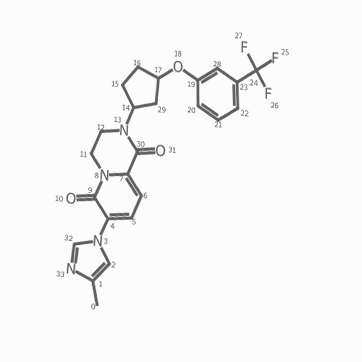 Cc1cn(-c2ccc3n(c2=O)CCN(C2CCC(Oc4cccc(C(F)(F)F)c4)C2)C3=O)cn1